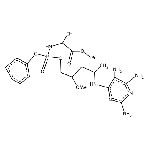 COC(COP(=O)(NC(C)C(=O)OC(C)C)Oc1ccccc1)CC(C)Nc1nc(N)nc(N)c1N